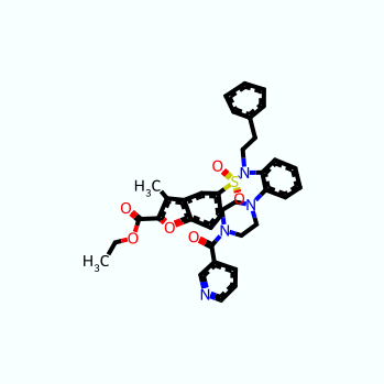 CCOC(=O)c1oc2ccc(S(=O)(=O)N(CCc3ccccc3)c3ccccc3N3CCN(C(=O)c4cccnc4)CC3)cc2c1C